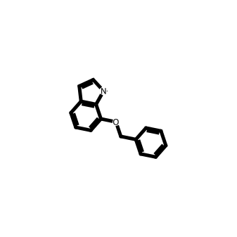 C1=Cc2cccc(OCc3ccccc3)c2[N]1